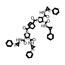 O=C(NC1CC1c1ccccc1)[C@@H]1CN(C(=O)C23CCC(C(=O)N4C[C@@H](C(=O)N[C@H]5C[C@@H]5c5ccccc5)[C@H](C(=O)N[C@H]5C[C@@H]5c5ccccc5)C4)(CC2)C3)C[C@H]1C(=O)N[C@H]1C[C@@H]1c1ccccc1